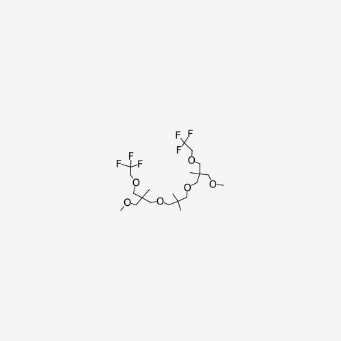 COCC(C)(COCC(F)(F)F)COCC(C)(C)COCC(C)(COC)COCC(F)(F)F